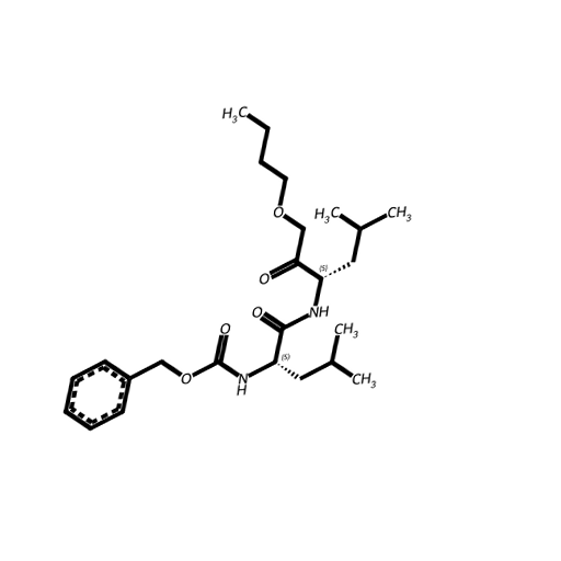 CCCCOCC(=O)[C@H](CC(C)C)NC(=O)[C@H](CC(C)C)NC(=O)OCc1ccccc1